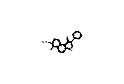 COc1ccc2c(ccc3occ(-c4ccccc4)c(=O)c32)c1C